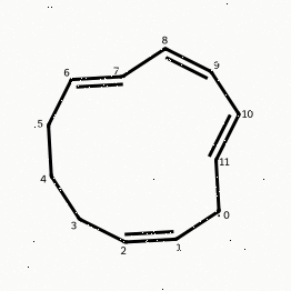 [CH]1/C=C\CCC/C=C/C=C\C=C\1